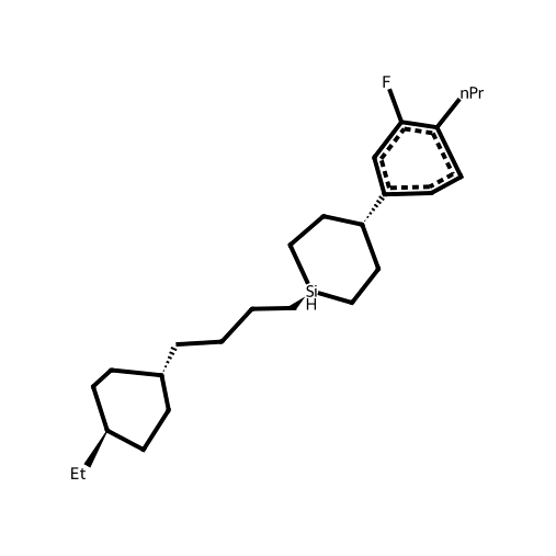 CCCc1ccc([C@H]2CC[Si@H](CCCC[C@H]3CC[C@H](CC)CC3)CC2)cc1F